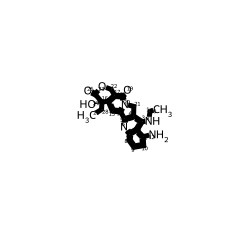 CCNc1c2c(nc3cccc(N)c13)-c1cc3c(c(=O)n1C2)COC(=O)[C@]3(O)CC